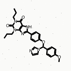 CCCn1c(=O)c2[nH]c(-c3ccc(OC(c4ccc(OC)cc4)n4ccnc4)cc3)nc2n(CCC)c1=O